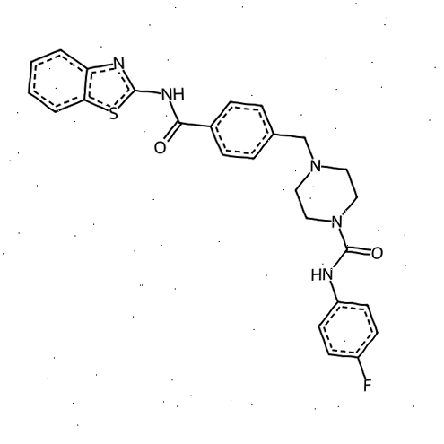 O=C(Nc1nc2ccccc2s1)c1ccc(CN2CCN(C(=O)Nc3ccc(F)cc3)CC2)cc1